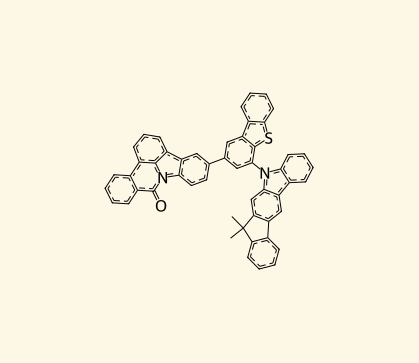 CC1(C)c2ccccc2-c2cc3c4ccccc4n(-c4cc(-c5ccc6c(c5)c5cccc7c8ccccc8c(=O)n6c75)cc5c4sc4ccccc45)c3cc21